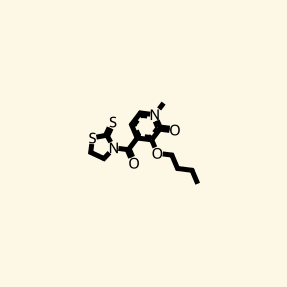 CCCCOc1c(C(=O)N2CCSC2=S)ccn(C)c1=O